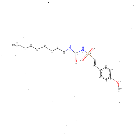 CC(C)Oc1ccc(/C=C/S(=O)(=O)NC(=O)NCCCCCCCC(=O)O)cc1